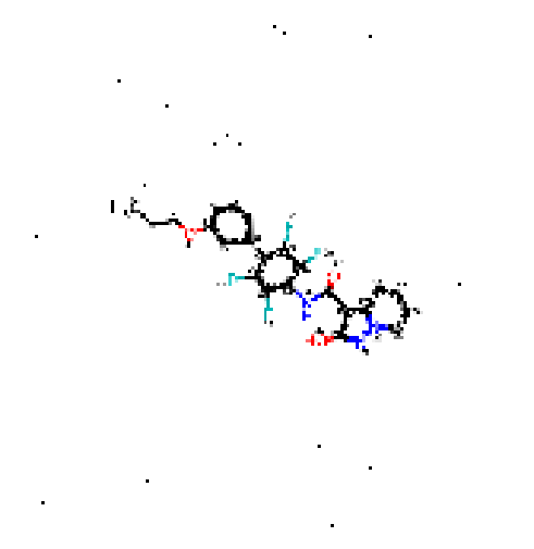 CCCOc1cccc(-c2c(F)c(F)c(NC(=O)c3c(O)nn4ccccc34)c(F)c2F)c1